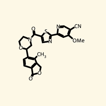 COc1cc(-c2ncc(C(=O)N3CCOC(c4ccc5c(c4C)COC5=O)C3)s2)ncc1C#N